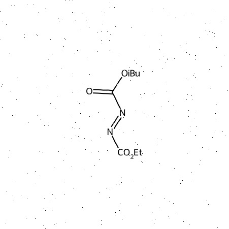 CCOC(=O)N=NC(=O)OCC(C)C